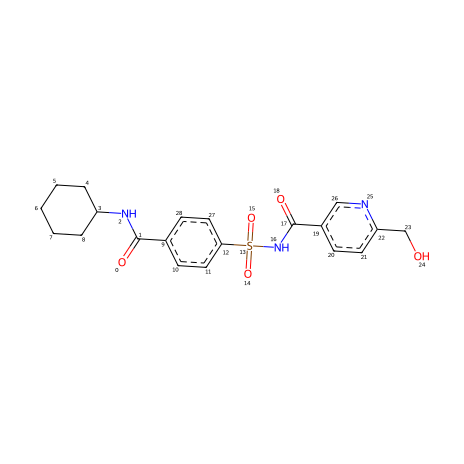 O=C(NC1CCCCC1)c1ccc(S(=O)(=O)NC(=O)c2ccc(CO)nc2)cc1